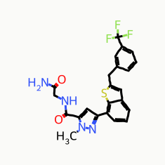 Cn1nc(-c2cccc3cc(Cc4cccc(C(F)(F)F)c4)sc23)cc1C(=O)NCC(N)=O